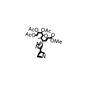 COC(=O)C1=C[C@H](n2cc(-c3cccnc3)nn2)[C@@H](C)[C@H]([C@H](OC(C)=O)[C@@H](COC(C)=O)OC(C)=O)O1